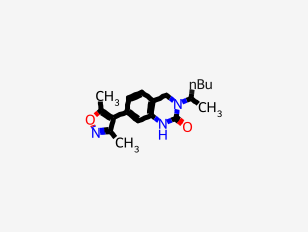 CCCCC(C)N1Cc2ccc(-c3c(C)noc3C)cc2NC1=O